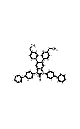 CCc1ccc(-c2cc3c(cc2-c2ccc(CC)cc2)n(-c2ccc(-c4ccccc4)cc2)c(=O)n3-c2ccc(-c3ccccc3)cc2)cc1